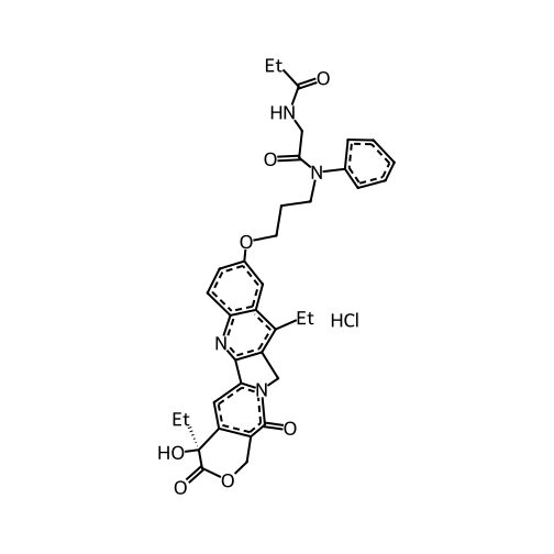 CCC(=O)NCC(=O)N(CCCOc1ccc2nc3c(c(CC)c2c1)Cn1c-3cc2c(c1=O)COC(=O)[C@]2(O)CC)c1ccccc1.Cl